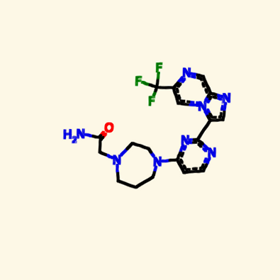 NC(=O)CN1CCCN(c2ccnc(-c3cnc4cnc(C(F)(F)F)cn34)n2)CC1